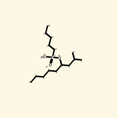 CCCCCC(CC(C)C)OP(=O)(O)CCCCC